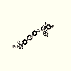 CCC(C)n1cnn(-c2ccc(N3CCN(c4ccc(OC[C@@H]5CO[C@@](Cn6cncn6)(C6(C)C=CC(F)=CC6F)O5)cc4)CC3)cc2)c1=O